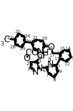 O=C(O)Oc1cnn(-c2cccc(-c3ccccc3COc3ccc(-c4ccc(C(F)(F)F)cc4)cn3)n2)c1C(F)(F)F